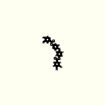 Cc1ccc(C(=O)Oc2ccc(Sc3ccc(OC(=O)c4ccc(C)c(C)c4)cc3)cc2)cc1C